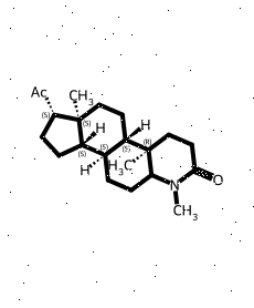 CC(=O)[C@H]1CC[C@H]2[C@@H]3CCC4N(C)C(=O)CC[C@]4(C)[C@H]3CC[C@]12C